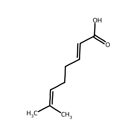 CC(C)=CCCC=CC(=O)O